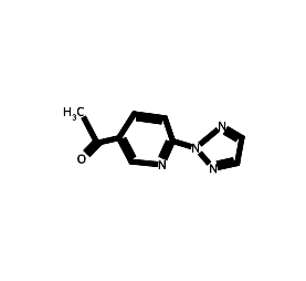 CC(=O)c1ccc(-n2nccn2)nc1